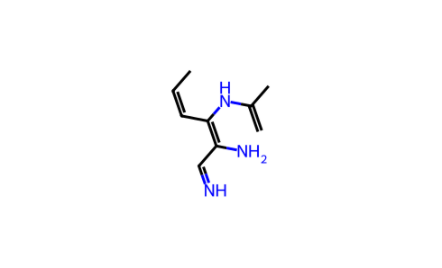 C=C(C)NC(/C=C\C)=C(\N)C=N